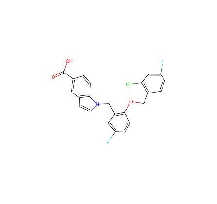 O=C(O)c1ccc2c(ccn2Cc2cc(F)ccc2OCc2ccc(F)cc2Cl)c1